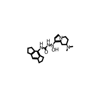 CN(C)C1CCn2ccc(N(O)NC(=O)Nc3c4c(cc5c3CCC5)CCC4)c2C1